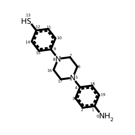 Nc1ccc(N2CCN(c3ccc(S)cc3)CC2)cc1